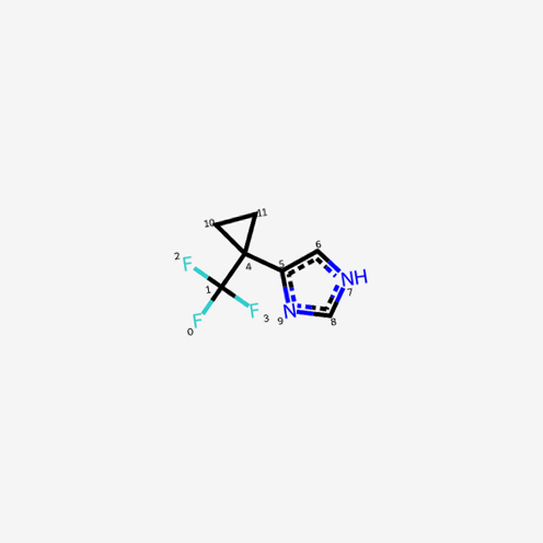 FC(F)(F)C1(c2c[nH]cn2)CC1